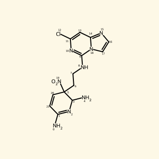 NC1=NC(N)C(CCNc2nc(Cl)cc3nccn23)([N+](=O)[O-])C=C1